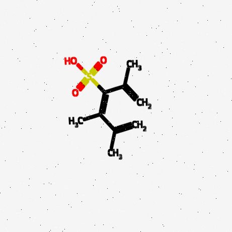 C=C(C)/C(C)=C(\C(=C)C)S(=O)(=O)O